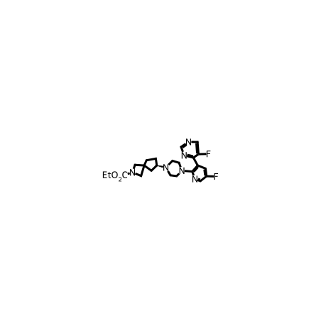 CCOC(=O)N1CC2(CC[C@@H](N3CCN(c4ncc(F)cc4-c4ncncc4F)CC3)C2)C1